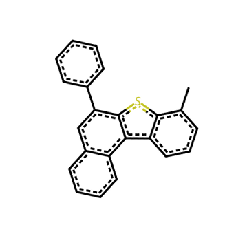 Cc1cccc2c1sc1c(-c3ccccc3)cc3ccccc3c12